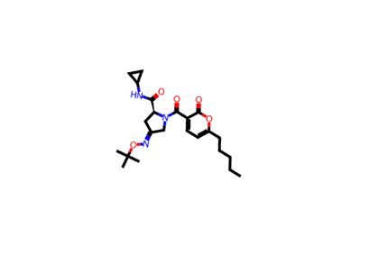 CCCCCc1ccc(C(=O)N2C/C(=N/OC(C)(C)C)C[C@H]2C(=O)NC2CC2)c(=O)o1